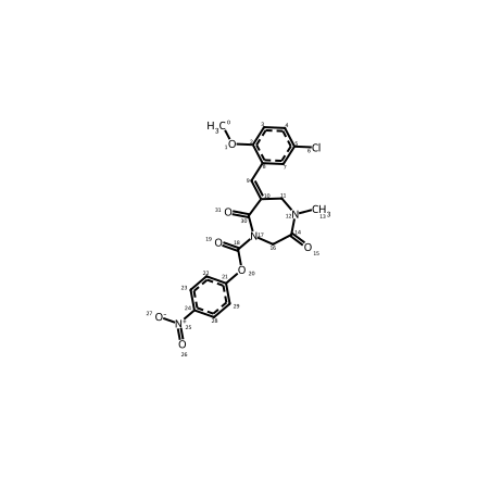 COc1ccc(Cl)cc1/C=C1\CN(C)C(=O)CN(C(=O)Oc2ccc([N+](=O)[O-])cc2)C1=O